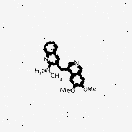 COc1cc2cncc(Cc3cc4ccccc4nc3N(C)C)c2cc1OC